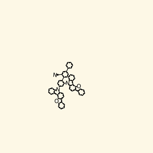 N#Cc1cc(-c2ccccc2)ccc1-c1ccc(-n2c3ccccc3c3c4oc5ccccc5c4ccc32)cc1-n1c2ccccc2c2c3oc4ccccc4c3ccc21